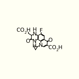 O=C(O)CC1Nc2c(F)cc3c(=O)c(C(=O)O)cn(C4CC4)c3c2NC1=O